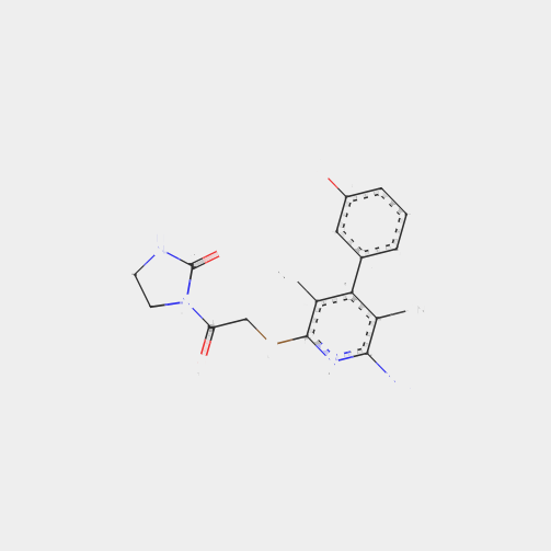 N#Cc1c(N)nc(SCC(=O)N2CCNC2=O)c(C#N)c1-c1cccc(O)c1